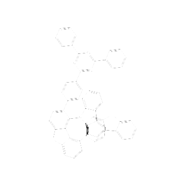 c1ccc(-c2nc(-c3ccccc3)nc(-c3ccc(-c4ccc5oc6cccc(-c7ccc8oc9ccccc9c8c7)c6c5c4-n4c5ccccc5c5ccccc54)cc3)n2)cc1